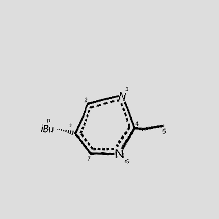 CC[C@@H](C)c1cnc(C)nc1